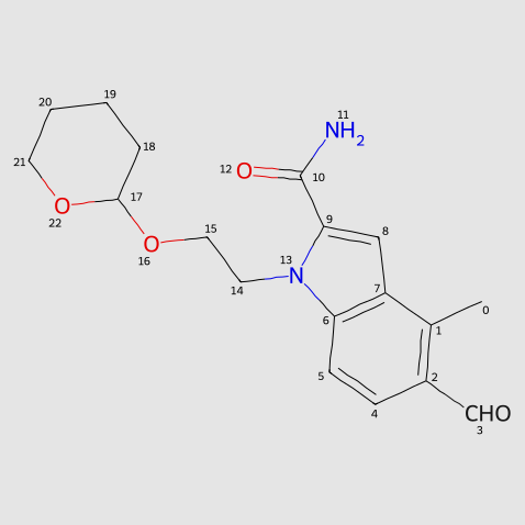 Cc1c(C=O)ccc2c1cc(C(N)=O)n2CCOC1CCCCO1